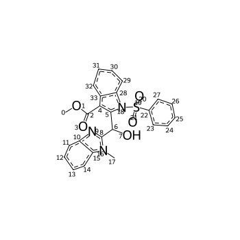 COC(=O)c1c(C(O)c2nc3ccccc3n2C)n(S(=O)(=O)c2ccccc2)c2ccccc12